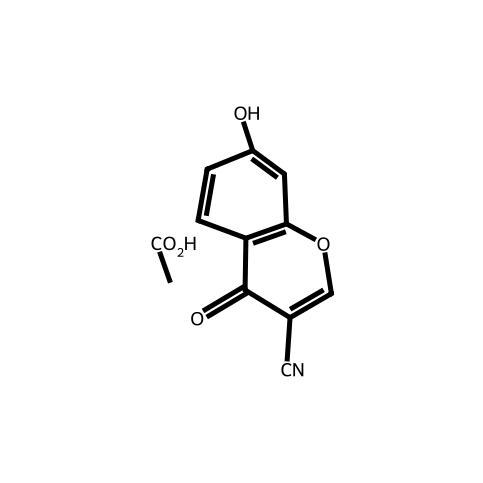 CC(=O)O.N#Cc1coc2cc(O)ccc2c1=O